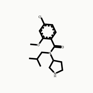 COc1cc(Cl)ccc1C(=O)N(CC(C)C)C1CCNC1